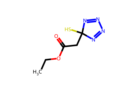 CCOC(=O)CC1(S)N=NN=N1